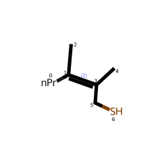 CCC/C(C)=C(/C)CS